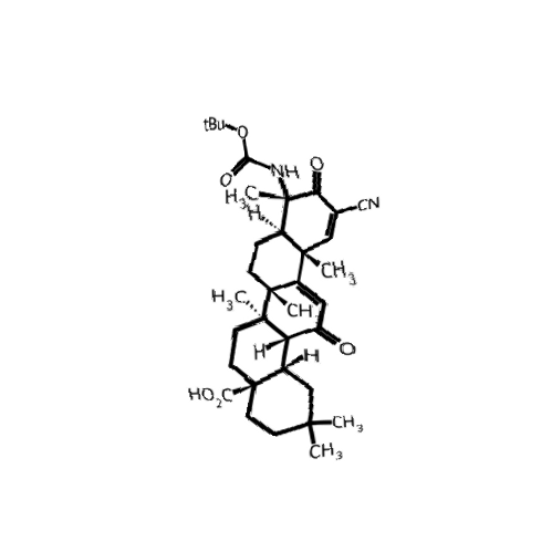 CC1(C)CC[C@]2(C(=O)O)CC[C@]3(C)[C@H](C(=O)C=C4[C@@]5(C)C=C(C#N)C(=O)[C@@](C)(NC(=O)OC(C)(C)C)[C@@H]5CC[C@]43C)[C@@H]2C1